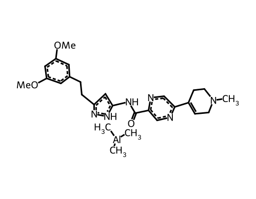 COc1cc(CCc2cc(NC(=O)c3cnc(C4=CCN(C)CC4)cn3)[nH]n2)cc(OC)c1.[CH3][Al]([CH3])[CH3]